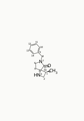 C[C@H]1CNC12CCN(Cc1ccccc1)C2=O